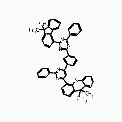 CC1(C)c2ccccc2Sc2c(-c3cc(-c4cccc(-c5nc(-c6ccccc6)nc(-c6cccc7c6-c6ccccc6C7(C)C)n5)c4)nc(-c4ccccc4)n3)cccc21